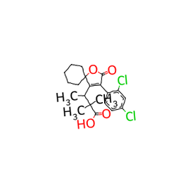 CC(C1=C(c2ccc(Cl)cc2Cl)C(=O)OC12CCCCC2)C(C)(C)C(=O)O